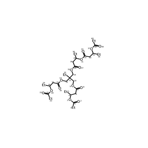 CCC(=O)OC(CC)CC(=O)OCC(CC)(COC(=O)CC(CC)OC(=O)CC)COC(=O)CC(CC)OC(=O)CC(CC)OC(=O)CC